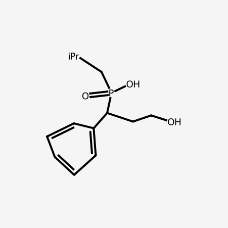 CC(C)CP(=O)(O)C(CCO)c1ccccc1